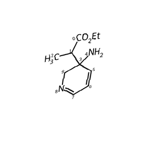 CCOC(=O)C(C)C1(N)C=CC=NC1